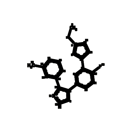 CCn1cc(-c2cc(-c3c[nH]nc3-c3cccc(C)n3)ccc2F)cn1